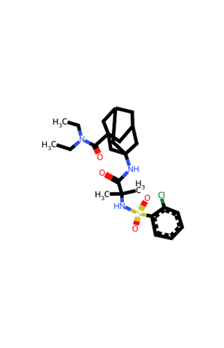 CCN(CC)C(=O)C12CC3CC(CC(NC(=O)C(C)(C)NS(=O)(=O)c4ccccc4Cl)(C3)C1)C2